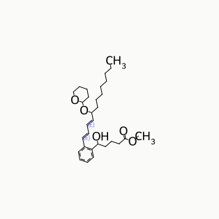 CCCCCCCCC(/C=C/C=C/c1ccccc1C(O)CCCC(=O)OC)OC1CCCCO1